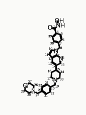 O=C(NO)c1ccc(Cn2ccc3cc(C4CCN(Cc5ccc(CN6CCOCC6)cc5)CC4)cnc32)cc1